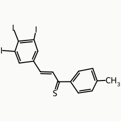 Cc1ccc(C(=S)C=Cc2cc(I)c(I)c(I)c2)cc1